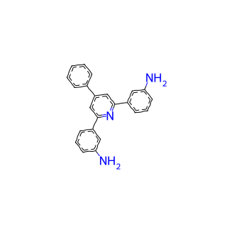 Nc1cccc(-c2cc(-c3ccccc3)cc(-c3cccc(N)c3)n2)c1